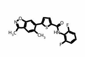 Cc1cc2c(C)noc2cc1-c1ccc(C(=O)Nc2c(F)cccc2F)s1